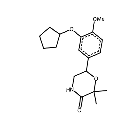 COc1ccc(C2CNC(=O)C(C)(C)O2)cc1OC1CCCC1